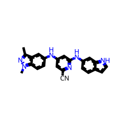 Cc1nn(C)c2ccc(Nc3cc(C#N)nc(Nc4ccc5cc[nH]c5c4)c3)cc12